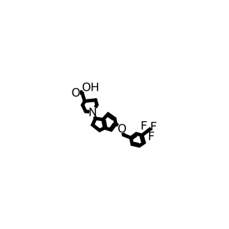 O=C(O)C1CCN(C2CCc3cc(OCc4cccc(C(F)(F)F)c4)ccc32)CC1